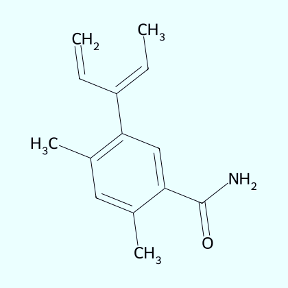 C=C/C(=C\C)c1cc(C(N)=O)c(C)cc1C